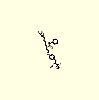 CCOC(Cc1ccc(OCCN(CCCCC(F)(F)C(F)(F)F)C(=O)Nc2ccccc2)cc1)C(=O)O